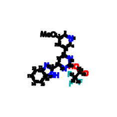 COc1cncc(-c2cc(-c3nc4ccccc4[nH]3)ncn2)c1.O=C(O)C(F)(F)F